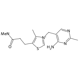 CNC(=O)CCc1sc[n+](Cc2cnc(C)nc2N)c1C